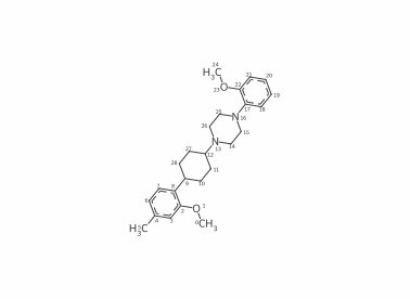 COc1cc(C)ccc1C1CCC(N2CCN(c3ccccc3OC)CC2)CC1